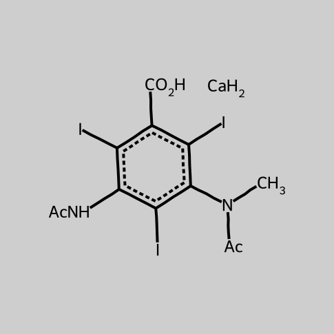 CC(=O)Nc1c(I)c(C(=O)O)c(I)c(N(C)C(C)=O)c1I.[CaH2]